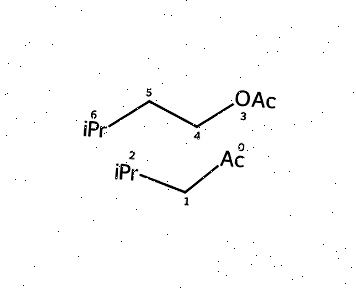 CC(=O)CC(C)C.CC(=O)OCCC(C)C